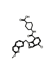 COc1ccc2ccc(Cn3ncc4c(Cl)ccc(C(=O)NC5CCC(C(=O)O)CC5)c43)cc2n1